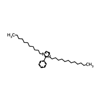 CCCCCCCCCCCCn1cc[n+](CCCCCCCCCCC)c1-c1ccccc1